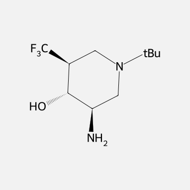 CC(C)(C)N1C[C@@H](N)[C@H](O)[C@@H](C(F)(F)F)C1